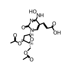 CC(=O)OC[C@H]1O[C@@H](n2cc(C=CC(=O)O)c(NO)nc2=O)C[C@@H]1OC(C)=O